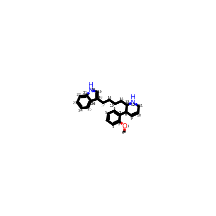 COc1ccccc1C1C=CCNC1CCCCc1c[nH]c2ccccc12